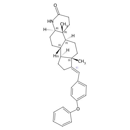 C[C@]12CCC(=O)N[C@@H]1CC[C@@H]1[C@@H]2CC[C@]2(C)/C(=C/c3ccc(Oc4ccccc4)cc3)CC[C@@H]12